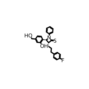 OCc1ccc([C@@H]2[C@@H](CCCc3ccc(F)cc3)C(=S)N2c2ccccc2)c(O)c1